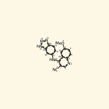 COc1ccc2ncc(C#N)c(Nc3ccc4nn[nH]c4c3)c2c1